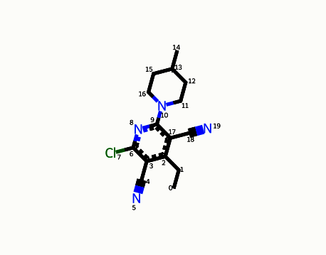 CCc1c(C#N)c(Cl)nc(N2CC[C](C)CC2)c1C#N